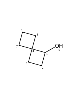 OC1CCC12CCC2